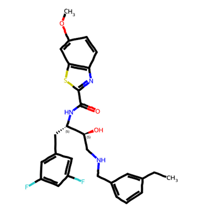 CCc1cccc(CNC[C@H](O)[C@H](Cc2cc(F)cc(F)c2)NC(=O)c2nc3ccc(OC)cc3s2)c1